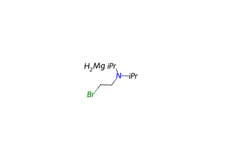 CC(C)N(CCBr)C(C)C.[MgH2]